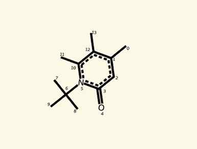 Cc1cc(=O)n(C(C)(C)C)c(C)c1C